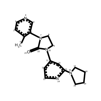 Cc1ccncc1N1CCN(c2ccnc(N3CCCC3)c2)C1=O